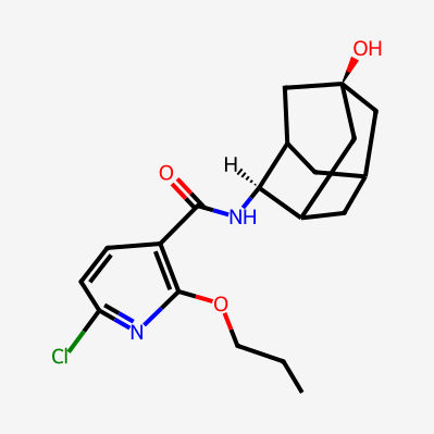 CCCOc1nc(Cl)ccc1C(=O)N[C@H]1C2CC3CC1C[C@@](O)(C3)C2